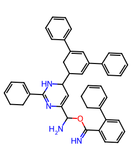 N=C(OC(N)C1=CC(C2C=C(c3ccccc3)C=C(c3ccccc3)C2)NC(C2=CC=CCC2)=N1)c1ccccc1C1=CC=CCC1